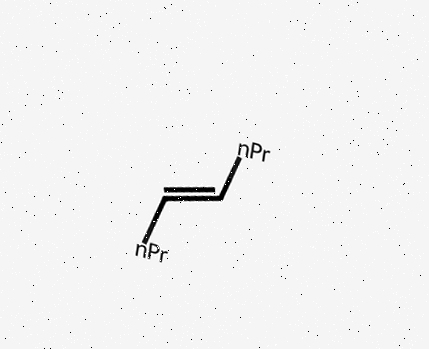 [CH]CC/C=C/CCC